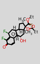 CCOC(=S)[C@@]1(OC(=O)CC)[C@@H](C)C[C@H]2[C@@H]3C[C@H](F)C4=C(F)C(=O)C=C[C@]4(C)[C@H]3[C@@H](O)C[C@@]21C